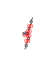 CCCc1ccc(CCC(=O)OC2CCC(C(=O)Oc3ccc(OC(=O)C4CCC(OC(=O)CCc5ccc(CCC)cc5)CC4)c4c3C(=O)/C(=C(/C)SC)C4C)CC2)cc1